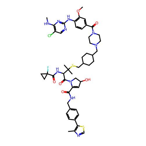 CNc1nc(Nc2ccc(C(=O)N3CCN(CC4CCC(CSC(C)(C)C(NC(=O)C5(F)CC5)C(=O)N5CC(O)C=C5C(=O)NCc5ccc(-c6scnc6C)cc5)CC4)CC3)cc2OC)ncc1Cl